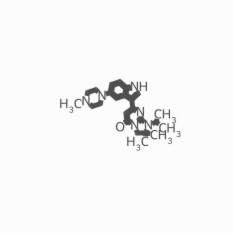 CC(C)N1c2nc(-c3c[nH]c4ccc(N5CCN(C)CC5)cc34)cc(=O)n2CC1(C)C